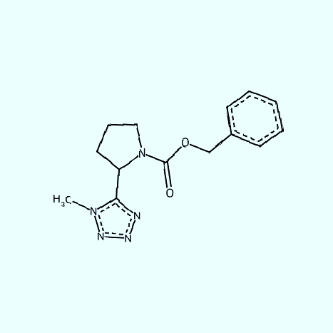 Cn1nnnc1C1CCCN1C(=O)OCc1ccccc1